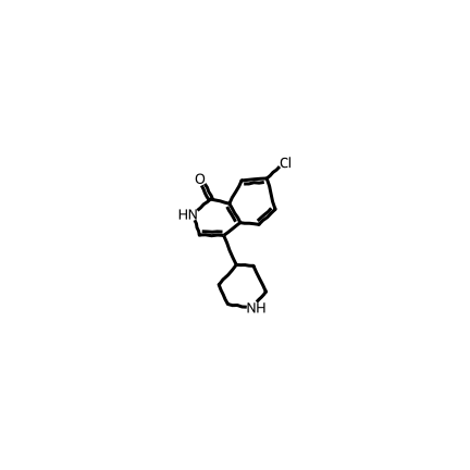 O=c1[nH]cc(C2CCNCC2)c2ccc(Cl)cc12